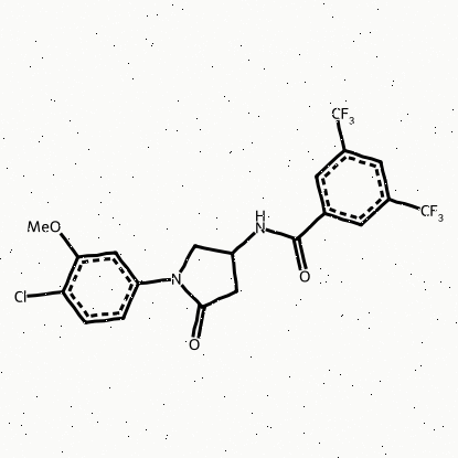 COc1cc(N2CC(NC(=O)c3cc(C(F)(F)F)cc(C(F)(F)F)c3)CC2=O)ccc1Cl